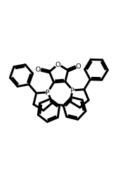 O=C1OC(=O)C(P2C(c3ccccc3)CC[C@@H]2c2ccccc2)=C1P1C(c2ccccc2)CC[C@@H]1c1ccccc1